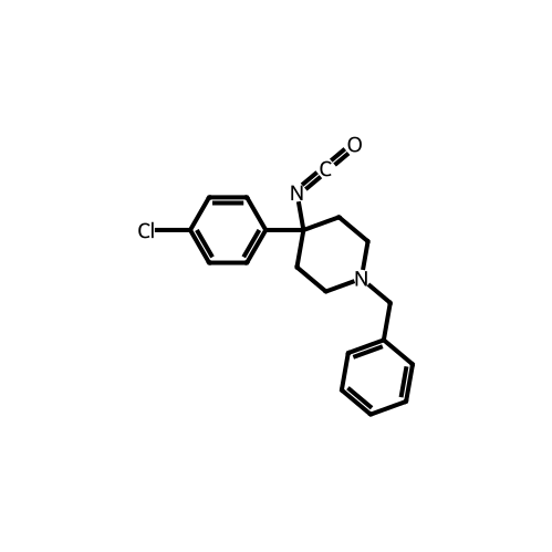 O=C=NC1(c2ccc(Cl)cc2)CCN(Cc2ccccc2)CC1